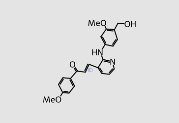 COc1ccc(C(=O)/C=C/c2cccnc2Nc2ccc(CO)c(OC)c2)cc1